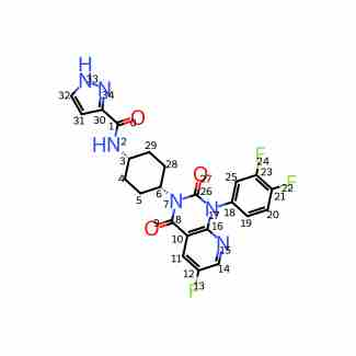 O=C(N[C@H]1CC[C@@H](n2c(=O)c3cc(F)cnc3n(-c3ccc(F)c(F)c3)c2=O)CC1)c1cc[nH]n1